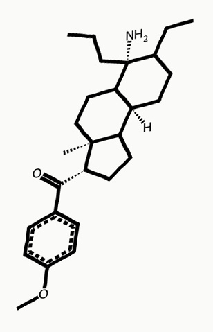 CCC[C@@]1(N)C(CC)CC[C@@H]2C1CC[C@@]1(C)C2CC[C@@H]1C(=O)c1ccc(OC)cc1